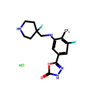 Cl.O=c1[nH]nc(-c2cc(F)c(C(F)(F)F)c(NCC3(F)CCNCC3)c2)o1